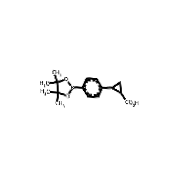 CC1(C)OB(c2ccc(C3CC3C(=O)O)cc2)OC1(C)C